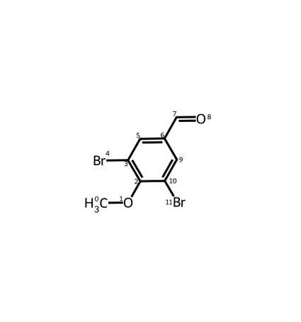 COc1c(Br)cc(C=O)cc1Br